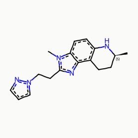 C[C@H]1CCc2c(ccc3c2nc(CCn2cccn2)n3C)N1